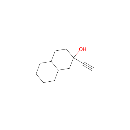 C#CC1(O)CCC2CCCCC2C1